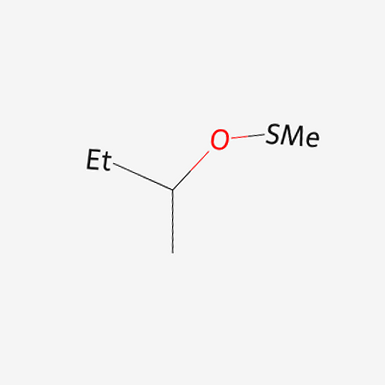 CCC(C)OSC